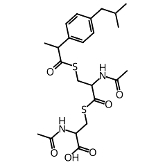 CC(=O)NC(CSC(=O)C(CSC(=O)C(C)c1ccc(CC(C)C)cc1)NC(C)=O)C(=O)O